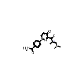 C/C(=C\N(C)C)C(=O)c1nn(-c2ccc(C(N)=O)cc2)ccc1=O